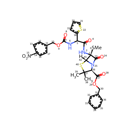 CS[C@@]1(NC(=O)C(NC(=O)OCc2ccc([N+](=O)[O-])cc2)c2cccs2)C(=O)N2[C@@H](C(=O)OCc3ccccc3)C(C)(C)S[C@@H]21